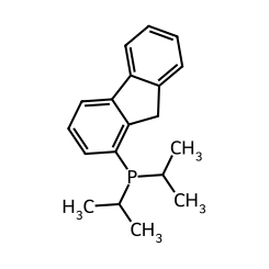 CC(C)P(c1cccc2c1Cc1ccccc1-2)C(C)C